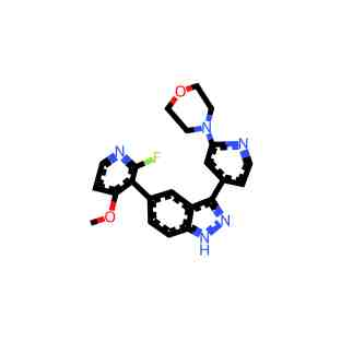 COc1ccnc(F)c1-c1ccc2[nH]nc(-c3ccnc(N4CCOCC4)c3)c2c1